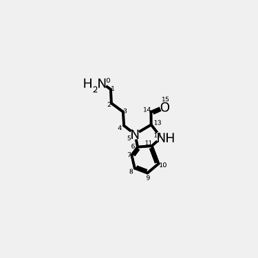 NCCCCN1c2ccccc2NC1C=O